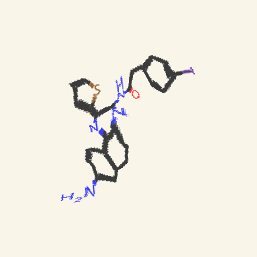 Nc1ccc2c(c1)CCc1nc(NC(=O)Cc3ccc(I)cc3)c(-c3cccs3)nc1-2